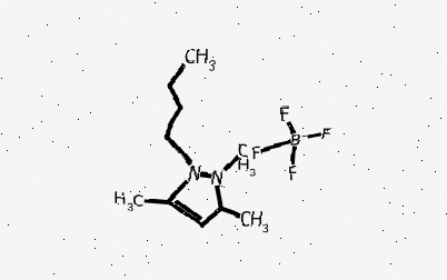 CCCCN1C(C)=CC(C)N1C.F[B-](F)(F)F